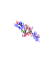 Nc1nc2c(ncn2[C@@H]2OC3OPOC[C@H]4[C@H](F)[C@H](n5cnc6c(=O)[nH]cnc65)O[C@@H]4COPO[C@@H]2[C@H]3F)c(=O)[nH]1